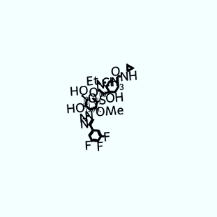 CCN(C)C(=O)[C@H](S[C@@H]1O[C@H](CO)[C@H](O)[C@H](n2cc(-c3cc(F)c(F)c(F)c3)nn2)[C@H]1OC)C1(O)CCN(C(=O)NC2CC2)CC1